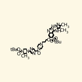 Cc1n[nH]c(Nc2ncnc3cc(OCCCN4CCN(C(=O)c5cnc(N6CCN(C(=O)OC(C)(C)C)[C@H](C)C6)cn5)CC4)c(S(=O)(=O)C(C)(C)C)cc23)c1C